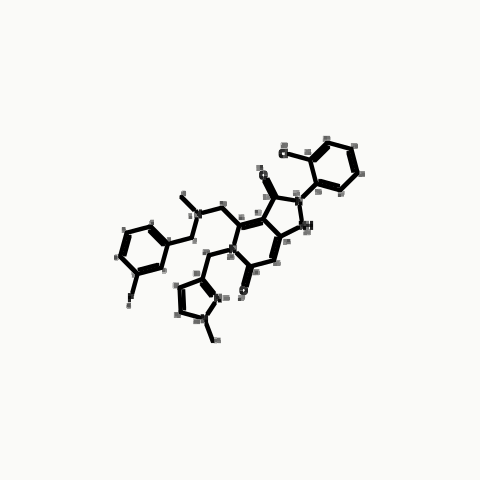 CN(Cc1cccc(F)c1)Cc1c2c(=O)n(-c3ccccc3Cl)[nH]c2cc(=O)n1Cc1ccn(C)n1